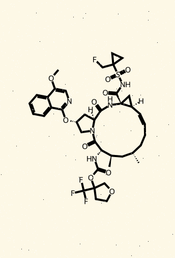 COc1cnc(O[C@@H]2C[C@H]3C(=O)N[C@]4(C(=O)NS(=O)(=O)C5(CF)CC5)C[C@H]4/C=C\CC[C@H](C)C[C@@H](C)[C@H](NC(=O)OC4(C(F)(F)F)CCOC4)C(=O)N3C2)c2ccccc12